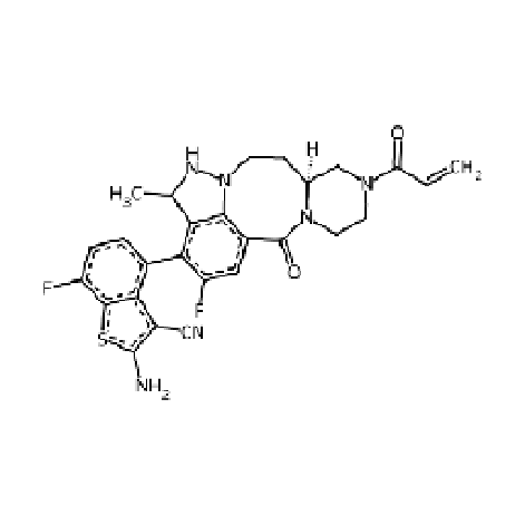 C=CC(=O)N1CCN2C(=O)c3cc(F)c(-c4ccc(F)c5sc(N)c(C#N)c45)c4c3N(CC[C@H]2C1)NC4C